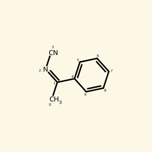 C/C(=N/C#N)c1ccccc1